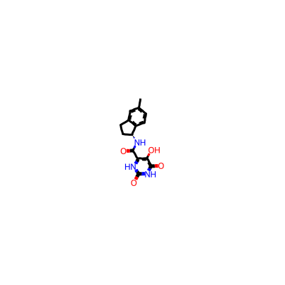 Cc1ccc2c(c1)CC[C@H]2NC(=O)c1[nH]c(=O)[nH]c(=O)c1O